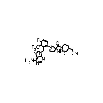 N#CCC1CCN(C(=O)[C@@]2(N)CCN(c3ccc(F)c(C(F)(F)F)c3Cn3cnc4c(N)ncnc43)C2)CC1